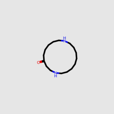 O=C1CCCCCNCCCCCCCCNCC1